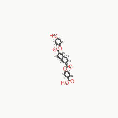 O=C(O)c1ccc(OC(=O)c2ccc3cc(C(=O)Oc4ccc(O)cc4)ccc3c2)cc1